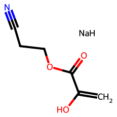 C=C(O)C(=O)OCCC#N.[NaH]